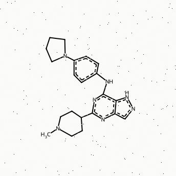 CN1CCC(c2nc(Nc3ccc(N4CCCC4)cc3)c3[nH]ncc3n2)CC1